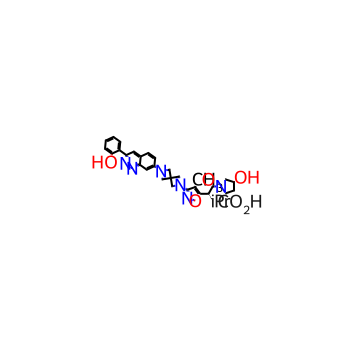 Cc1c(N2CC3(CN(c4ccc5cc(-c6ccccc6O)nnc5c4)C3)C2)noc1[C@H](C(=O)N1C[C@H](O)C[C@H]1C(=O)O)C(C)C